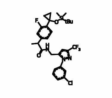 CC(C(=O)NCc1cc(C(F)(F)F)nn1-c1cccc(Cl)c1)c1ccc(C2(O[Si](C)(C)C(C)(C)C)CC2)c(F)c1